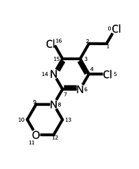 ClCCc1c(Cl)nc(N2CCOCC2)nc1Cl